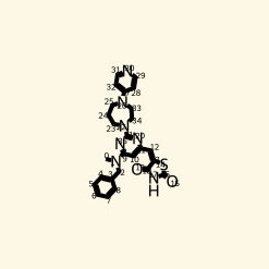 CN(Cc1ccccc1)c1cc(C=C2SC(=O)NC2=O)nc(N2CCCN(c3ccncc3)CC2)n1